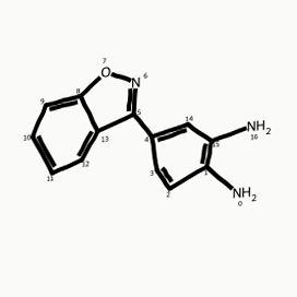 Nc1ccc(-c2noc3ccccc23)cc1N